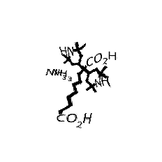 CC1(C)CC(C(CCCCCCCC(=O)O)(C(=O)O)C2CC(C)(C)NC(C)(C)C2)CC(C)(C)N1.N.N